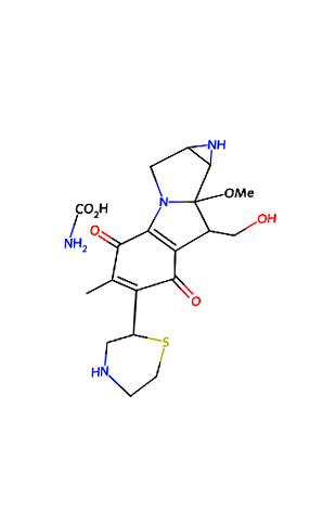 COC12C(CO)C3=C(C(=O)C(C)=C(C4CNCCS4)C3=O)N1CC1NC12.NC(=O)O